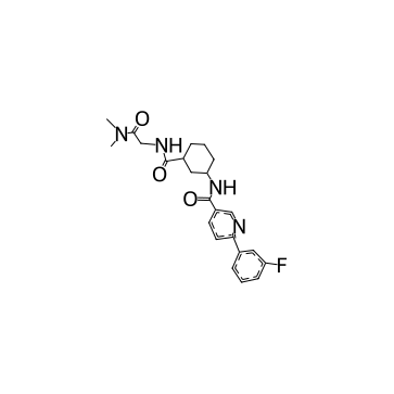 CN(C)C(=O)CNC(=O)C1CCCC(NC(=O)c2ccc(-c3cccc(F)c3)nc2)C1